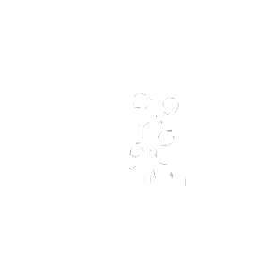 C#C/C=C(\C=C/C)N1c2cccc3c2B(C2=C(c4cccc(C5CCCCC5)c4CO2)N3c2ccccc2)c2oc3c(c21)C=CCC3C1CCCCC1